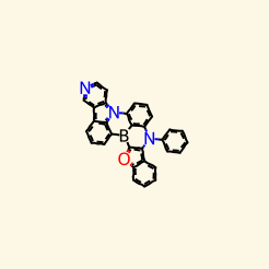 c1ccc(N2c3cccc4c3B(c3oc5ccccc5c32)c2cccc3c5cnccc5n-4c23)cc1